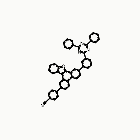 N#Cc1ccc(-c2ccc3c4ccc(-c5cccc(-c6nc(-c7ccccc7)nc(-c7ccccc7)n6)c5)cc4c4oc5ccccc5c4c3c2)cc1